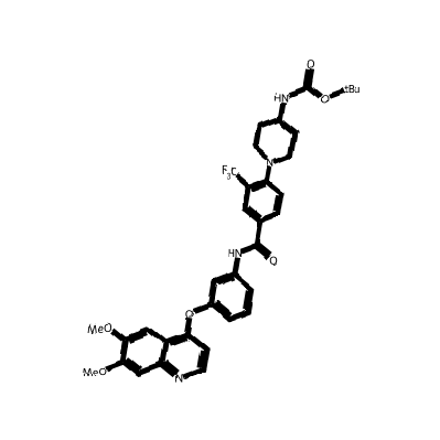 COc1cc2nccc(Oc3cccc(NC(=O)c4ccc(N5CCC(NC(=O)OC(C)(C)C)CC5)c(C(F)(F)F)c4)c3)c2cc1OC